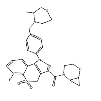 CC1COCCN1Cc1ccc(-n2nc(C(=O)N3CCOC4CC43)c3c2-c2cccc(F)c2S(=O)(=O)C3)cc1